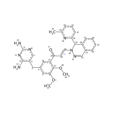 COc1cc(Cc2cnc(N)nc2N)cc(C(=O)/C=C/N2N=Cc3ccccc3C2c2cccc(C)n2)c1OC